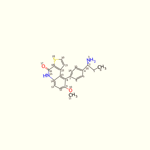 CC[C@H](N)c1ccc(-c2c(OC)ccc3[nH]c(=O)c4sccc4c23)cc1